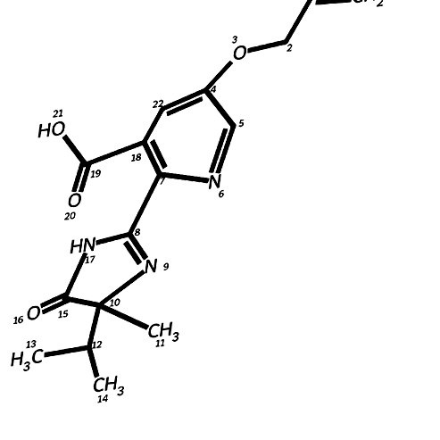 C=CCOc1cnc(C2=NC(C)(C(C)C)C(=O)N2)c(C(=O)O)c1